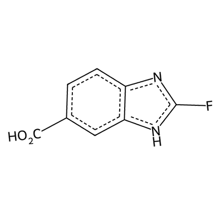 O=C(O)c1ccc2nc(F)[nH]c2c1